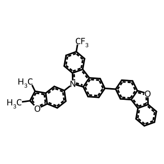 Cc1oc2ccc(-n3c4ccc(-c5ccc6oc7ccccc7c6c5)cc4c4cc(C(F)(F)F)ccc43)cc2c1C